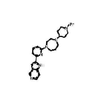 CC(C)N1CCC(N2CCCN(c3cccc(-c4cc5cnccc5[nH]4)n3)CC2)CC1